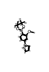 COc1cc(-n2cccn2)ccc1B1OC(C)(C)C(C)(C)O1